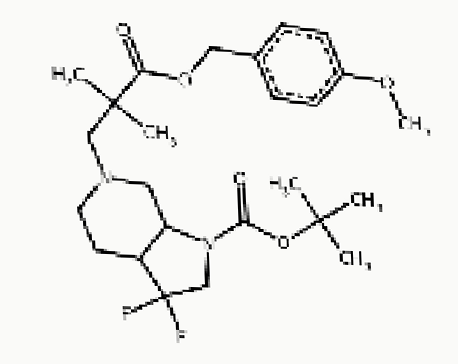 COc1ccc(COC(=O)C(C)(C)CN2CCC3C(C2)N(C(=O)OC(C)(C)C)CC3(F)F)cc1